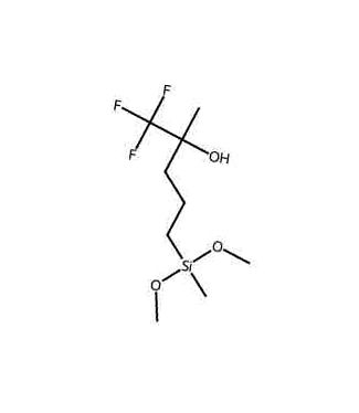 CO[Si](C)(CCCC(C)(O)C(F)(F)F)OC